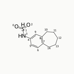 O=[SH](=O)Nc1ccc2c(c1)CCCCC2